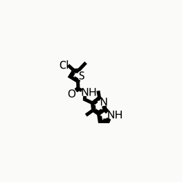 Cc1nc2[nH]ccc2c(C)c1CNC(=O)c1cc(Cl)c(C)s1